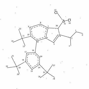 CCC(C)C1=Cc2c(ccc(C(C)(C)C)c2-c2cc(C(C)(C)C)cc(C(C)(C)C)c2)[CH]1[Zr]([Cl])[Cl]